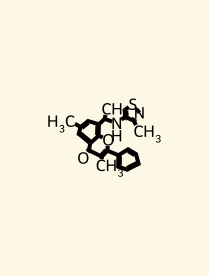 Cc1cc(C(C)Nc2csnc2C)c2oc(-c3ccccc3)c(C)c(=O)c2c1